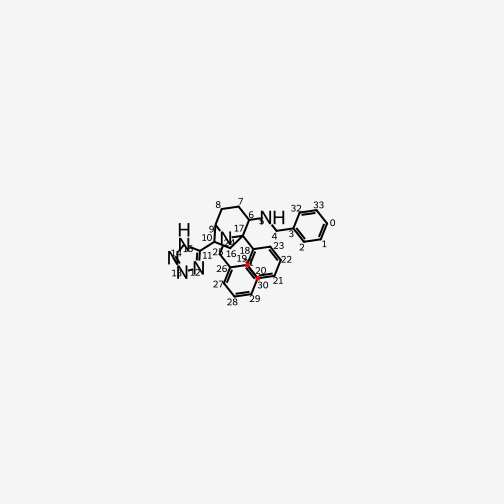 c1ccc(CNC2CCC3C(c4nnn[nH]4)CC2(c2ccccc2)N3Cc2ccccc2)cc1